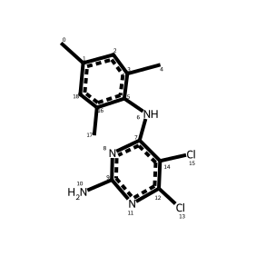 Cc1cc(C)c(Nc2nc(N)nc(Cl)c2Cl)c(C)c1